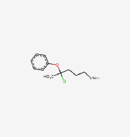 CCCCCCCCCCCCC(Cl)(Oc1ccccc1)C(=O)O